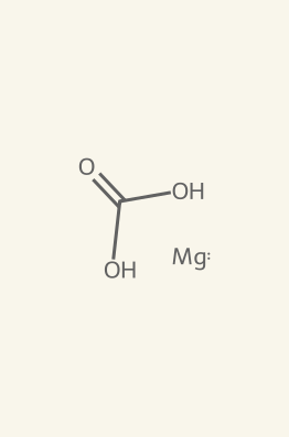 O=C(O)O.[Mg]